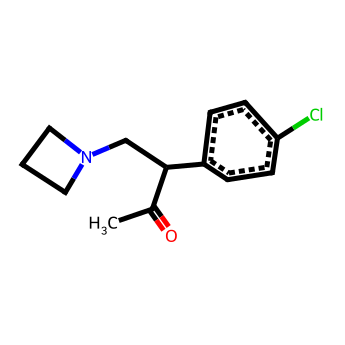 CC(=O)C(CN1CCC1)c1ccc(Cl)cc1